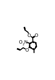 C=CCOC(=O)c1ccc(C)c(OCC=C)c1[N+](=O)[O-]